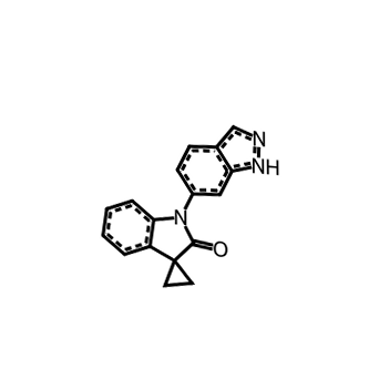 O=C1N(c2ccc3cn[nH]c3c2)c2ccccc2C12CC2